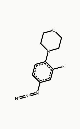 [N-]=[N+]=Nc1ccc(N2CCOCC2)c(F)c1